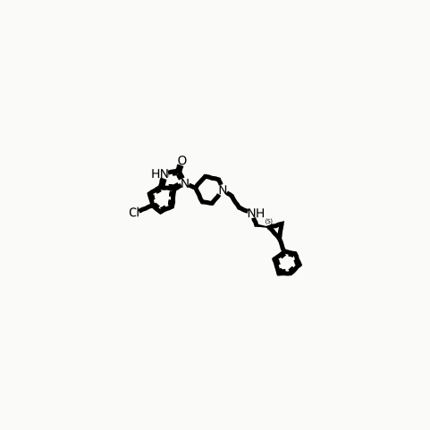 O=c1[nH]c2cc(Cl)ccc2n1C1CCN(CCNC[C@H]2CC2c2ccccc2)CC1